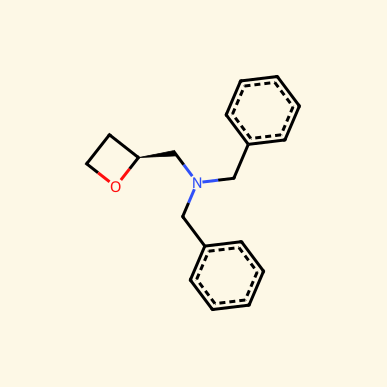 c1ccc(CN(Cc2ccccc2)C[C@@H]2CCO2)cc1